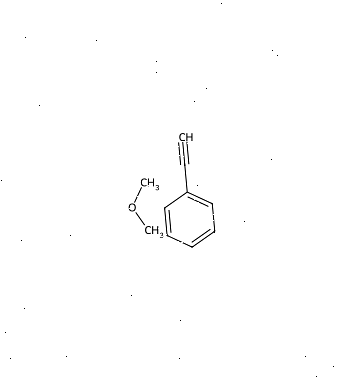 C#Cc1ccccc1.COC